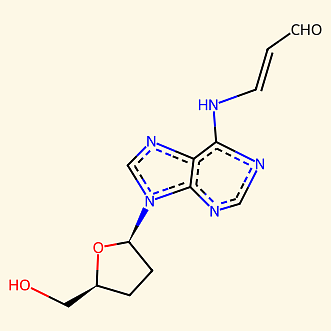 O=C/C=C/Nc1ncnc2c1ncn2[C@H]1CC[C@@H](CO)O1